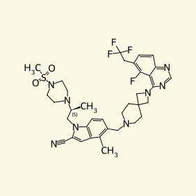 Cc1c(CN2CCC3(CC2)CN(c2ncnc4ccc(CC(F)(F)F)c(F)c24)C3)ccc2c1cc(C#N)n2C[C@H](C)N1CCN(S(C)(=O)=O)CC1